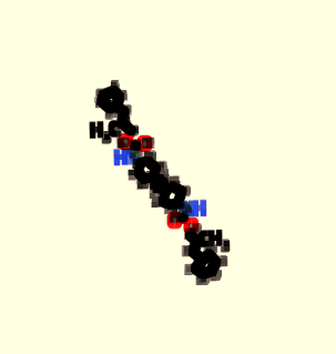 C/C(=C\c1ccccc1)COC(=O)NC1CCC2(CC1)C1C2C12CCC(NC(=O)OC/C(C)=C/c1ccccc1)CC2